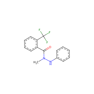 CN(Nc1ccccc1)C(=O)c1ccccc1C(F)(F)F